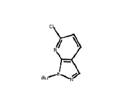 CCC(C)n1ncc2ccc(Cl)nc21